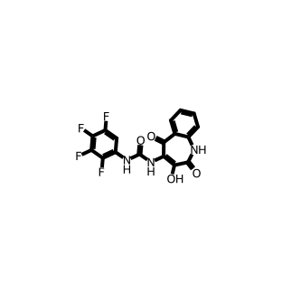 O=C(Nc1cc(F)c(F)c(F)c1F)Nc1c(O)c(=O)[nH]c2ccccc2c1=O